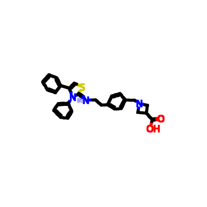 O=C(O)C1CN(Cc2ccc(CC/N=c3\scc(-c4ccccc4)n3-c3ccccc3)cc2)C1